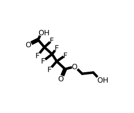 O=C(O)C(F)(F)C(F)(F)C(F)(F)C(=O)OCCO